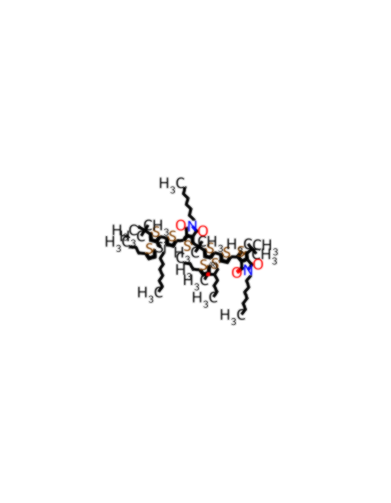 CCCCCCCCN1C(=O)c2c(-c3cc4c(s3)-c3sc(C(C)(C)c5sc(-c6cc7c(s6)-c6sc(C(C)(C)CC)cc6[Si]7(CCCCCCCC)c6ccc(CCCC)s6)c6c5C(=O)N(CCCCCCCC)C6=O)cc3[S@@]4(CC(CC)CCCC)c3ccc(CCCC)s3)sc(C(C)(C)C)c2C1=O